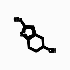 CC(C)(C)c1cc2c(s1)CCC(O)C2